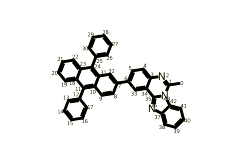 Cc1nc2ccc(-c3ccc4c(-c5ccccc5)c5ccccc5c(-c5ccccc5)c4c3)cc2c2nc3ccccc3n12